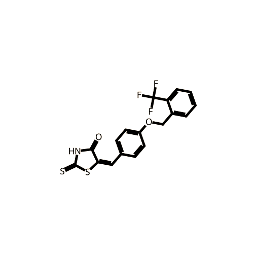 O=C1NC(=S)SC1=Cc1ccc(OCc2ccccc2C(F)(F)F)cc1